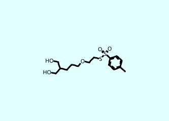 Cc1ccc(S(=O)(=O)SCCOCCCC(CO)CO)cc1